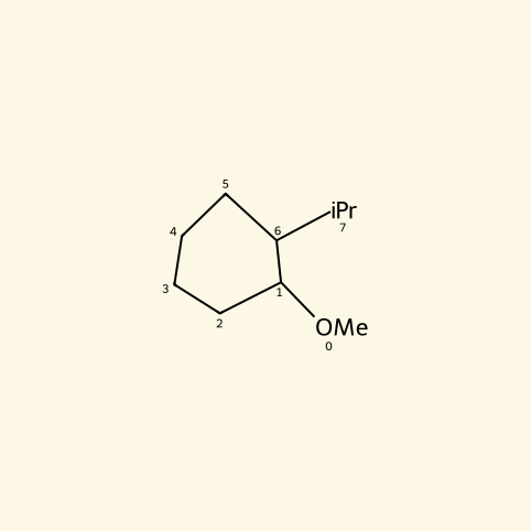 COC1CCCCC1C(C)C